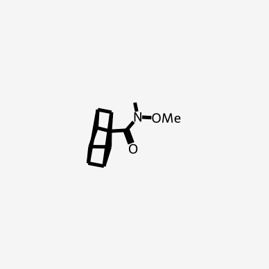 CON(C)C(=O)C12C3C4C5C3C1C5C42